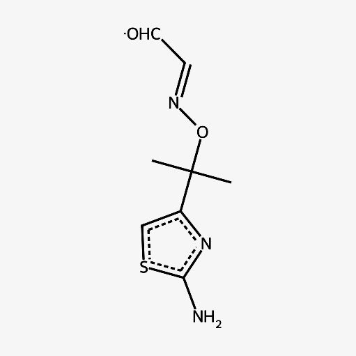 CC(C)(ON=C[C]=O)c1csc(N)n1